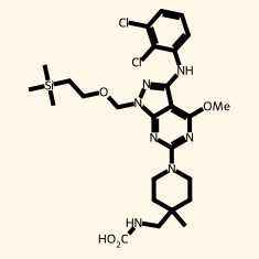 COc1nc(N2CCC(C)(CNC(=O)O)CC2)nc2c1c(Nc1cccc(Cl)c1Cl)nn2COCC[Si](C)(C)C